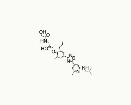 CCCc1cc(-c2noc(-c3cc(C)nc(NCC(C)C)c3)n2)cc(C)c1OC[C@@H](O)CNC(=O)CO